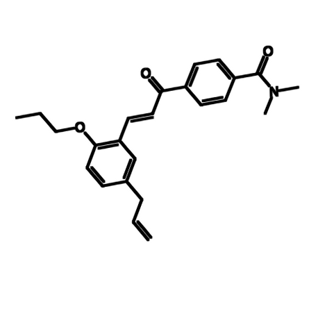 C=CCc1ccc(OCCC)c(C=CC(=O)c2ccc(C(=O)N(C)C)cc2)c1